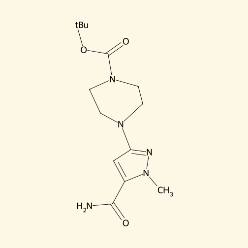 Cn1nc(N2CCN(C(=O)OC(C)(C)C)CC2)cc1C(N)=O